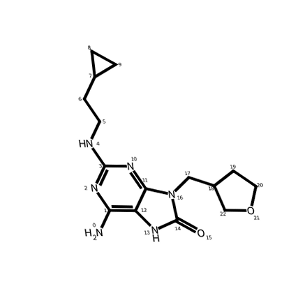 Nc1nc(NCCC2CC2)nc2c1[nH]c(=O)n2CC1CCOC1